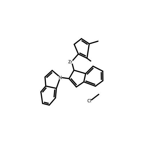 CC1=CC[C]([Zr][CH]2C(n3ccc4ccccc43)=Cc3ccccc32)=C1C.CCl